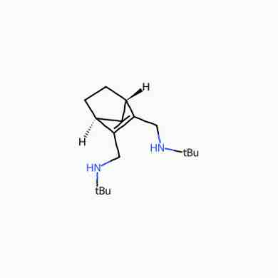 CC(C)(C)NCC1=C(CNC(C)(C)C)[C@H]2CC[C@H]1C2